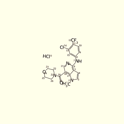 Cl.Cn1ccc2c(Nc3ccc(C(F)(F)F)c(Cl)c3)ncc(C(=O)N3CCOCC3)c21